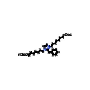 CCCCCCCCCCCCCCCCCN1C=CN(CCCCCCCCCCCCCCCCC)C1Cc1ccccc1